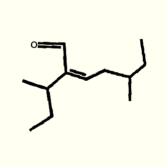 CCC(C)CC=C(C=O)C(C)CC